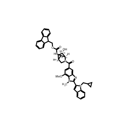 COc1cc(C(=O)N2C[C@H]3C[C@H](O)[C@@H]2[C@@H]3NC(=O)OCC2c3ccccc3-c3ccccc32)cc2nc(-c3cc4ccccc4n3CC3CC3)n(C)c12